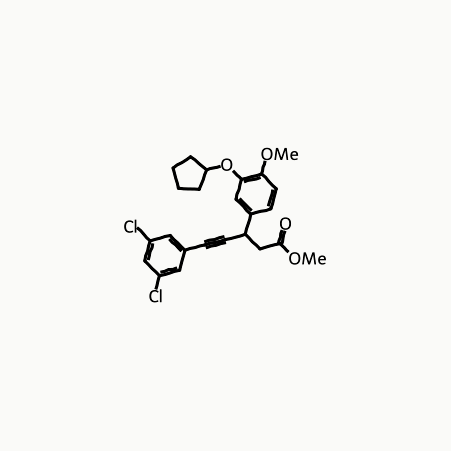 COC(=O)CC(C#Cc1cc(Cl)cc(Cl)c1)c1ccc(OC)c(OC2CCCC2)c1